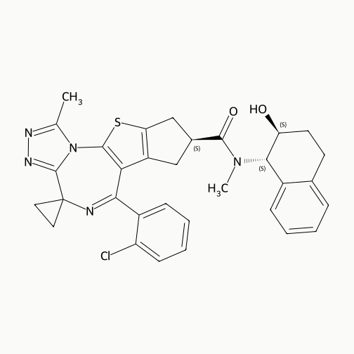 Cc1nnc2n1-c1sc3c(c1C(c1ccccc1Cl)=NC21CC1)C[C@H](C(=O)N(C)[C@H]1c2ccccc2CC[C@@H]1O)C3